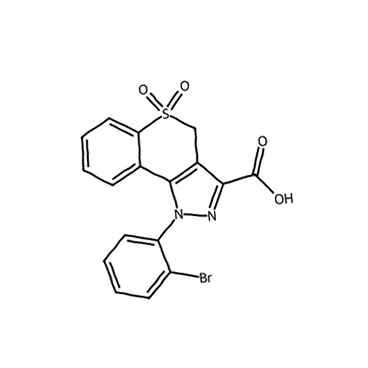 O=C(O)c1nn(-c2ccccc2Br)c2c1CS(=O)(=O)c1ccccc1-2